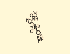 CC(C)OC(=O)Nc1cnccc1CN1C(=O)N(c2ccc(OC(F)(F)F)cc2)C(=O)C1C